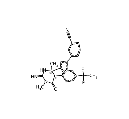 CN1C(=N)N[C@](C)(c2cc(-c3cccc(C#N)c3)cs2)[C@@H](c2ccc(C(C)(F)F)cc2)C1=O